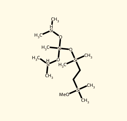 CO[Si](C)(C)CC[Si](C)(C)O[Si](C)(O[SiH](C)C)O[SiH](C)C